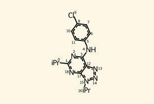 CC(C)c1nc(Nc2ccc(Cl)cc2)c2nnn(C(C)C)c2n1